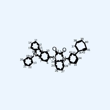 O=c1c(=O)n(-c2ccc3c(c2)c2ccccc2n3-c2ccccc2)c2ccccc2n1-c1cc#cc(C2=CC=CCC#C2)c1